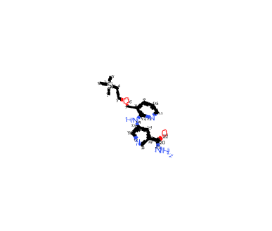 C[Si](C)(C)CCOCc1cccnc1Nc1cncc(C(N)=O)c1